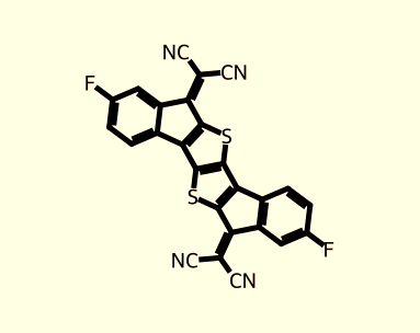 N#CC(C#N)=C1c2cc(F)ccc2-c2c1sc1c3c(sc21)C(=C(C#N)C#N)c1cc(F)ccc1-3